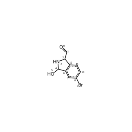 O=CC1NC(O)c2cc(Br)ccc21